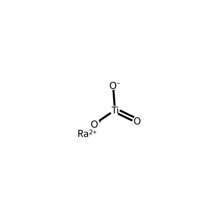 [O]=[Ti]([O-])[O-].[Ra+2]